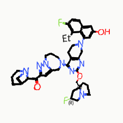 CCc1c(F)ccc2cc(O)cc(N3CCc4c(nc(OC[C@@]56CCCN5C[C@H](F)C6)nc4N4CCCn5nc(C(=O)C6C7CCCN6C7)cc5C4)C3)c12